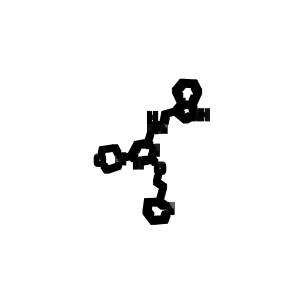 C(=N\Nc1cc(N2CCOCC2)nc(OCCc2ccccn2)n1)/c1c[nH]c2ccccc12